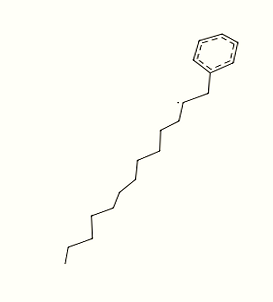 CCCCCCCCCCC[CH]Cc1ccccc1